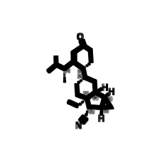 CC[C@]12CC[C@H]([C@H]3CCC(=O)C=C3[C@H](C)C(C)C)C[C@@H]1[C@@H]1C[C@@H]1[C@@H]2C#N